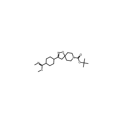 CN=C(SC)C1CCC(C2=NOC3(CCN(C(=O)OC(C)(C)C)CC3)C2)CC1